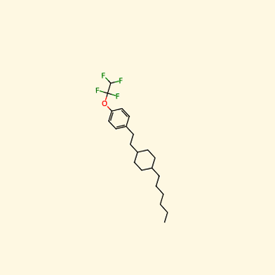 CCCCCCC1CCC(CCc2ccc(OC(F)(F)C(F)F)cc2)CC1